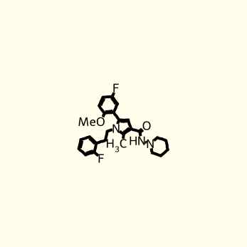 COc1ccc(F)cc1-c1cc(C(=O)NN2CCCCC2)c(C)n1CCc1ccccc1F